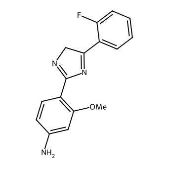 COc1cc(N)ccc1C1=NCC(c2ccccc2F)=N1